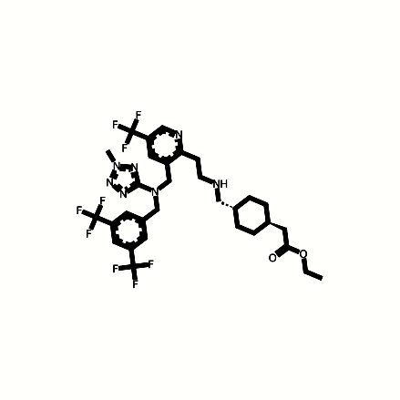 CCOC(=O)C[C@H]1CC[C@H](CNCCc2ncc(C(F)(F)F)cc2CN(Cc2cc(C(F)(F)F)cc(C(F)(F)F)c2)c2nnn(C)n2)CC1